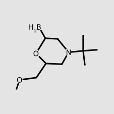 BC1CN(C(C)(C)C)CC(COC)O1